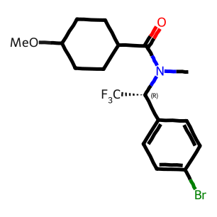 COC1CCC(C(=O)N(C)[C@H](c2ccc(Br)cc2)C(F)(F)F)CC1